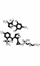 CS(=O)(=O)c1cc(C(F)(F)F)ccc1C(=O)c1cnoc1C1CC1.Nc1c([N+](=O)[O-])cnn1-c1c(Cl)cc(C(F)(F)F)cc1Cl.O=C(O)CNCP(=O)(O)O